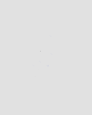 CCC[C@@H]1C[C@H](NC(=O)O)CC[C@@H]1N1CC[C@H](Nc2ncnc3ccc(Cl)cc23)C1=O